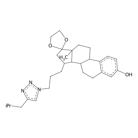 CC(C)Cc1cn(CCCC2CC3(OCCO3)C3(C)CCC4c5ccc(O)cc5CCC4C23)nn1